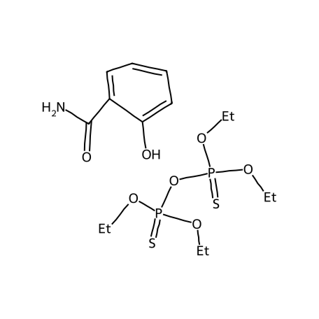 CCOP(=S)(OCC)OP(=S)(OCC)OCC.NC(=O)c1ccccc1O